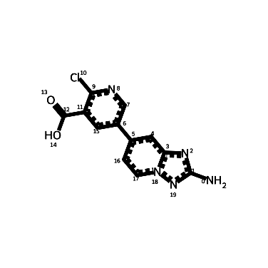 Nc1nc2cc(-c3cnc(Cl)c(C(=O)O)c3)ccn2n1